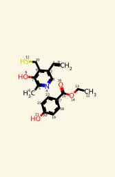 C=Cc1cnc(C)c(O)c1CS.CCOC(=O)c1ccc(O)cc1